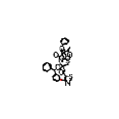 CC(=O)N(Oc1ccccc1)C1C(=O)N2CC(C=Cc3scnc3C)(C(=O)OC(c3ccccc3)c3ccccc3)CS[C@H]12